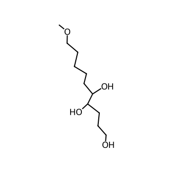 COCCCCCC(O)C(O)CCCO